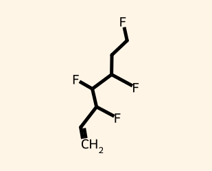 C=CC(F)C(F)C(F)CCF